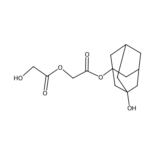 O=C(CO)OCC(=O)OC12CC3CC(CC(O)(C3)C1)C2